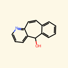 OC1c2ccccc2C=Cc2ncccc21